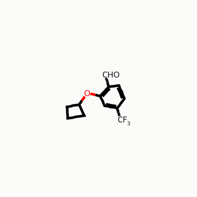 O=Cc1ccc(C(F)(F)F)cc1OC1CCC1